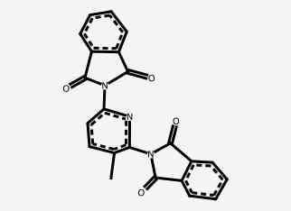 Cc1ccc(N2C(=O)c3ccccc3C2=O)nc1N1C(=O)c2ccccc2C1=O